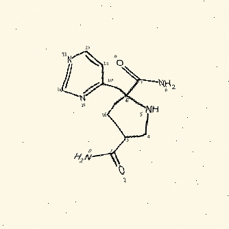 NC(=O)C1CNC(C(N)=O)(c2ccncn2)C1